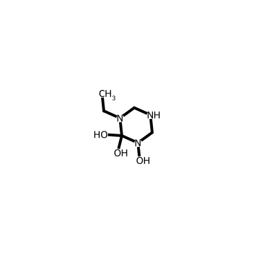 CCN1CNCN(O)C1(O)O